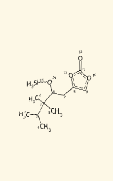 CC(C)C(C)(C)C(Cc1coc(=O)o1)O[SiH3]